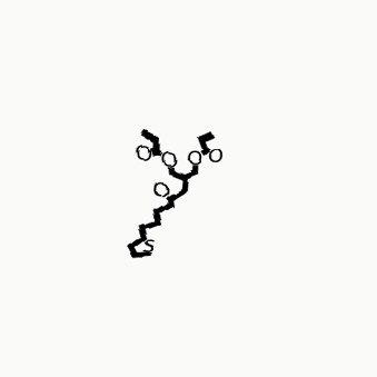 C=CC(=O)OCC(COC(=O)C=C)CC(=O)CCCCC1CCCS1